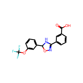 O=C(O)c1cccc(C2=NOC(c3cccc(OC(F)(F)F)c3)N2)c1